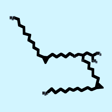 CCCCCCCCCCCC1CC1CCCCCOCC(CN(C)C)OCCCCCC1CC1CCCCCCCCCCC